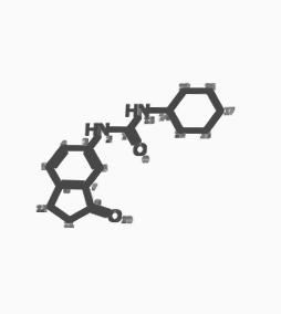 O=C(Nc1ccc2c(c1)C(=O)CC2)NC1CCCCC1